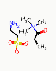 C=CC(=O)[N+](C)(C)C.NCCS(=O)(=O)[O-]